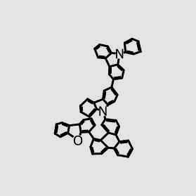 c1ccc(-n2c3ccccc3c3cc(-c4ccc5c(c4)c4ccccc4n5-c4ccc5c6ccccc6c6cccc(-c7cccc8c7oc7ccccc78)c6c5c4)ccc32)cc1